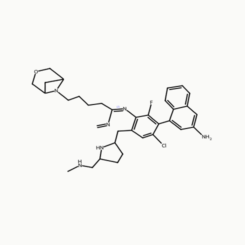 C=N/C(CCCCN1C2COCC1C2)=N\c1c(CC2CCC(CNC)N2)cc(Cl)c(-c2cc(N)cc3ccccc23)c1F